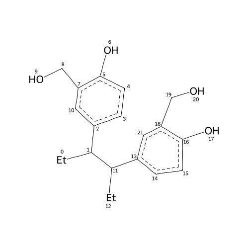 CCC(c1ccc(O)c(CO)c1)C(CC)c1ccc(O)c(CO)c1